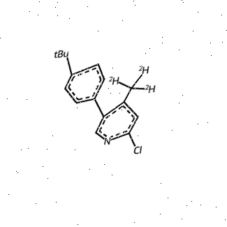 [2H]C([2H])([2H])c1cc(Cl)ncc1-c1ccc(C(C)(C)C)cc1